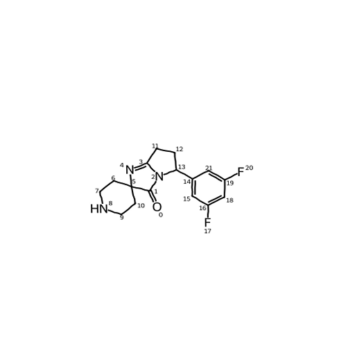 O=C1N2C(=NC13CCNCC3)CCC2c1cc(F)cc(F)c1